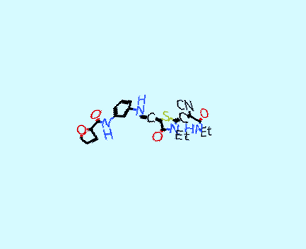 CCNC(=O)C(=C=c1sc(=C=CNc2cccc(NC(=O)C3CCCO3)c2)c(=O)n1CC)C#N